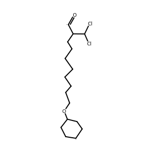 O=[C]C(CCCCCCCCOC1CC[CH]CC1)C(Cl)Cl